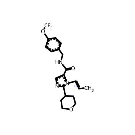 C/C=C/n1c(C(=O)NCc2ccc(OC(F)(F)F)cc2)cnc1C1CCOCC1